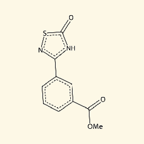 COC(=O)c1cccc(-c2nsc(=O)[nH]2)c1